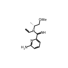 C=CN(C(=N)c1cccc(N)n1)[C@H](C)COC